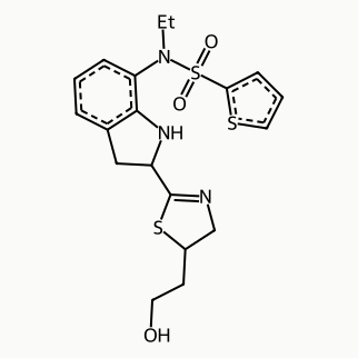 CCN(c1cccc2c1NC(C1=NCC(CCO)S1)C2)S(=O)(=O)c1cccs1